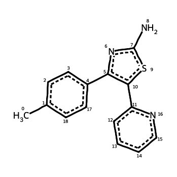 Cc1ccc(-c2nc(N)sc2-c2ccccn2)cc1